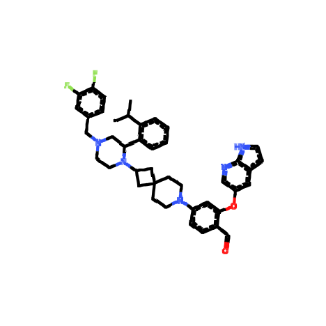 CC(C)c1ccccc1C1CN(Cc2ccc(F)c(F)c2)CCN1C1CC2(CCN(c3ccc(C=O)c(Oc4cnc5[nH]ccc5c4)c3)CC2)C1